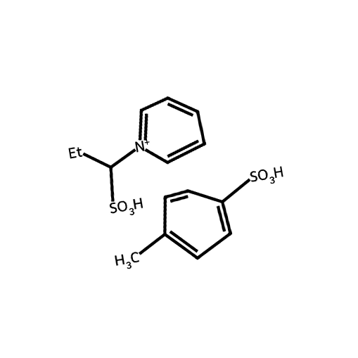 CCC([n+]1ccccc1)S(=O)(=O)O.Cc1ccc(S(=O)(=O)O)cc1